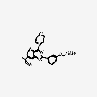 COCOc1cccc(-c2nc(N3CCOCC3)c3ncc(C(C)=N)cc3n2)c1